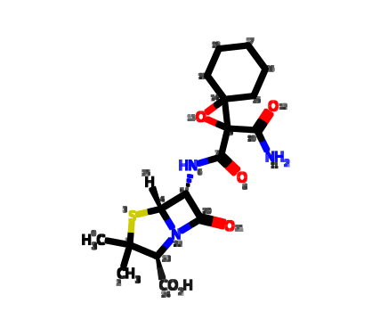 CC1(C)S[C@@H]2[C@H](NC(=O)C3(C(N)=O)OC34CCCCC4)C(=O)N2[C@H]1C(=O)O